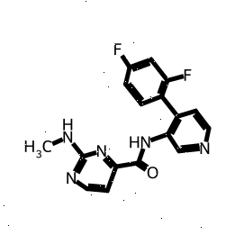 CNc1nccc(C(=O)Nc2cnccc2-c2ccc(F)cc2F)n1